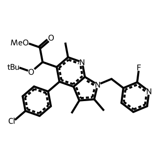 COC(=O)C(OC(C)(C)C)c1c(C)nc2c(c(C)c(C)n2Cc2cccnc2F)c1-c1ccc(Cl)cc1